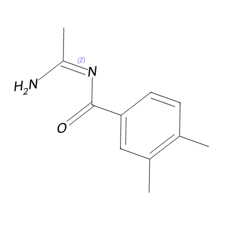 C/C(N)=N/C(=O)c1ccc(C)c(C)c1